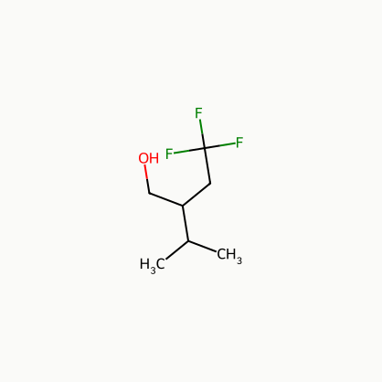 CC(C)C(CO)CC(F)(F)F